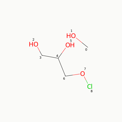 CO.OCC(O)COCl